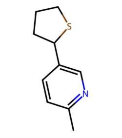 Cc1ccc(C2CCCS2)cn1